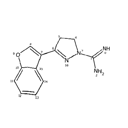 N=C(N)N1CCC(c2coc3ccccc23)=N1